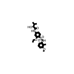 CCOc1cc(NC(=O)[C@@H](O)C(C)C)ccc1S(=O)(=O)Nc1cccc(OC)c1C